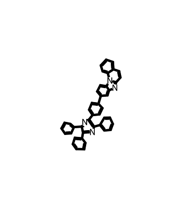 c1ccc(-c2nc(-c3ccccc3)c(-c3ccc(-c4ccc5c(c4)nc4ccc6ccccc6n45)cc3)nc2-c2ccccc2)cc1